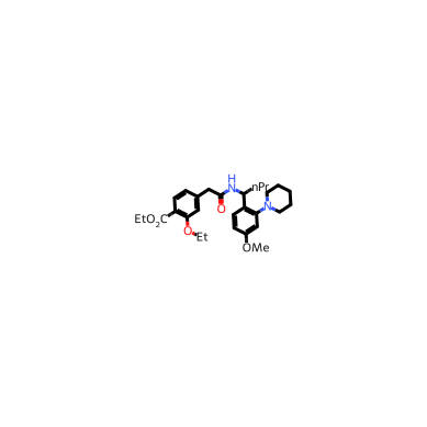 CCCC(NC(=O)Cc1ccc(C(=O)OCC)c(OCC)c1)c1ccc(OC)cc1N1CCCCC1